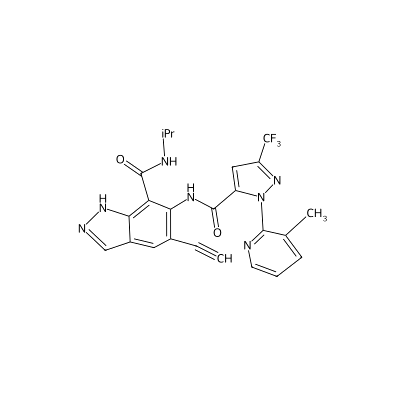 C#Cc1cc2cn[nH]c2c(C(=O)NC(C)C)c1NC(=O)c1cc(C(F)(F)F)nn1-c1ncccc1C